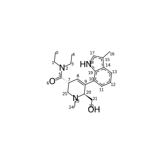 CCN(CC)C(=O)[C@@H]1C=C(c2cccc3c(C)c[nH]c23)[C@@H](CO)N(C)C1